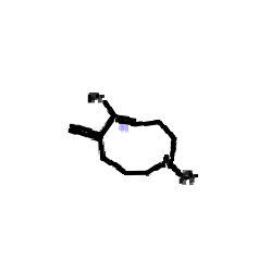 C=C1CCCN(C(C)C)CC/C=C/1C(C)C